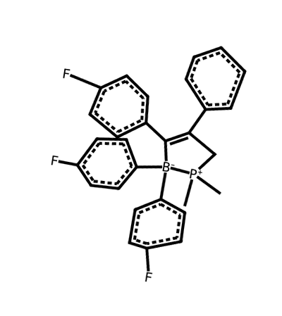 C[P+]1(C)CC(c2ccccc2)=C(c2ccc(F)cc2)[B-]1(c1ccc(F)cc1)c1ccc(F)cc1